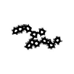 c1ccc(-c2nc(-c3ccc4oc5cc6ccccc6cc5c4c3)nc(-c3cc4ccccc4c4ccc(-c5ccc6oc7c(-c8ccccc8)cccc7c6c5)cc34)n2)cc1